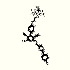 CC(C)(C)[Si](C)(C)OCCOc1ccc(-c2c(C#N)c(N)nc(SCc3csc(-c4ccc(Cl)cc4)n3)c2C#N)cc1